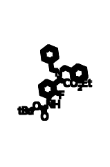 CCOC(=O)C(c1cccc(NC(=O)OC(C)(C)C)c1F)N(Cc1ccccc1)Cc1ccccc1